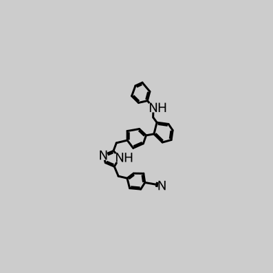 N#Cc1ccc(Cc2cnc(Cc3ccc(-c4ccccc4CNc4ccccc4)cc3)[nH]2)cc1